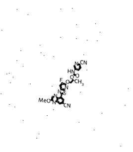 COc1cnc2c(-c3nc4cc(F)c(OC[C@@H](C)OC(=O)Nc5ccc(C#N)nc5)nc4s3)cc(C#N)cc2n1